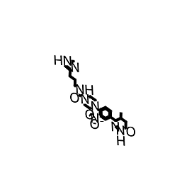 CC1CC(=O)NN=C1c1ccc(N2CCN(C(=O)NCCCc3c[nH]cn3)CC2)c([N+](=O)[O-])c1